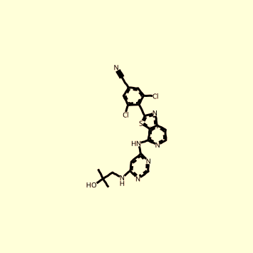 CC(C)(O)CNc1cc(Nc2nccc3nc(-c4c(Cl)cc(C#N)cc4Cl)sc23)ncn1